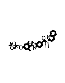 Cc1cc(OC[C@@H]2COC(C)(C)O2)cc(C)c1-c1nc2ccc(C(=O)Nc3ccc4ccccc4n3)cc2[nH]1